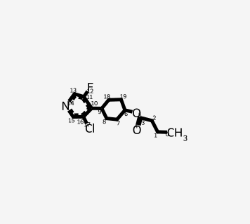 CCCC(=O)OC1CCC(c2c(F)cncc2Cl)CC1